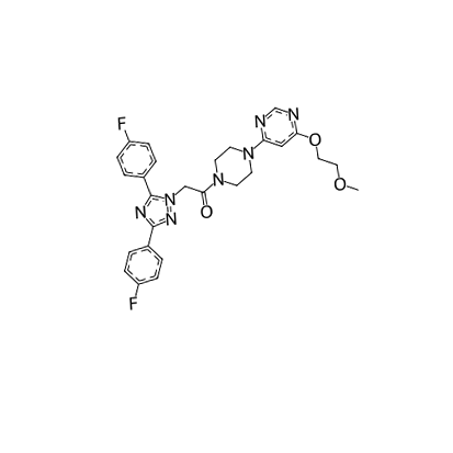 COCCOc1cc(N2CCN(C(=O)Cn3nc(-c4ccc(F)cc4)nc3-c3ccc(F)cc3)CC2)ncn1